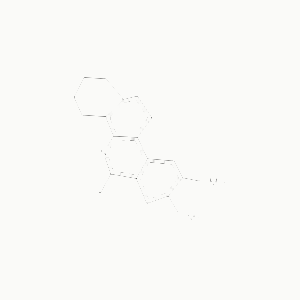 COc1cc2c(Cl)nc3c4c(ccc3c2cc1OC)CCCC4